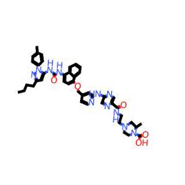 CCCCc1cc(NC(=O)Nc2ccc(OCc3ccnc(Nc4cnc(C(=O)NCCN5CCN(C(=O)O)C(C)C5)cn4)c3)c3ccccc23)n(-c2ccc(C)cc2)n1